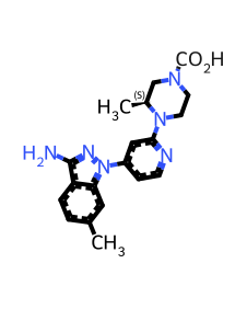 Cc1ccc2c(N)nn(-c3ccnc(N4CCN(C(=O)O)C[C@@H]4C)c3)c2c1